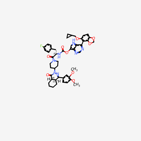 COc1ccc(C2=NN(C3CCN(C(=O)[C@H](Cc4ccc(F)cc4)NC(=O)Oc4c[nH]c5c(-c6c(OCC7CC7)ccc7c6OCO7)ncnc45)CC3)C(=O)[C@@H]3CCCC[C@H]23)cc1OC